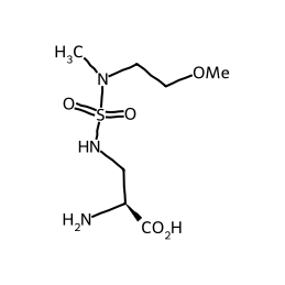 COCCN(C)S(=O)(=O)NC[C@H](N)C(=O)O